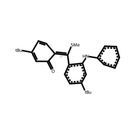 CS/C(=C1\C=CC(C(C)(C)C)=CC1=O)c1ccc(C(C)(C)C)cc1Nc1ccccc1